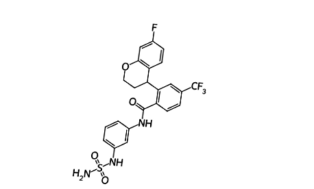 NS(=O)(=O)Nc1cccc(NC(=O)c2ccc(C(F)(F)F)cc2C2CCOc3cc(F)ccc32)c1